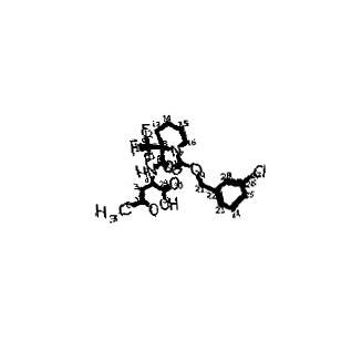 CC(=O)CC(NC(=O)C1(C(F)(F)F)CCCCN1C(=O)OCc1cccc(Cl)c1)C(=O)O